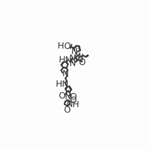 C=CCn1c(=O)c2cnc(Nc3ccc4c(c3)CN(CCCNc3ccc5c(c3)C(=O)N(C3CCC(=O)NC3=O)C5=O)CC4)nc2n1-c1cccc(C(C)(C)O)n1